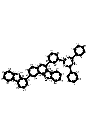 c1ccc(-c2nc(-c3ccccc3)nc(-c3cccc(-c4cc5ccc(-c6cccc7c6sc6ccccc67)cc5c5sc6ccccc6c45)c3)n2)cc1